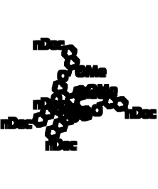 CCCCCCCCCCc1ccc2cc(OC)c(COc3ccc(OCc4cc5cc(CCCCCCCCCC)ccc5cc4OC)c(-c4cc(CCCCCCCCCC)c(-c5cc(OCc6cc7cc(CCCCCCCCCC)ccc7cc6OC)ccc5OCc5cc6cc(CCCCCCCCCC)ccc6cc5OC)c5ccc(OC)cc45)c3)cc2c1